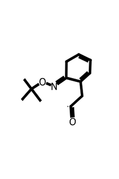 CC(C)(C)ON=C1CC=CC=C1C[C]=O